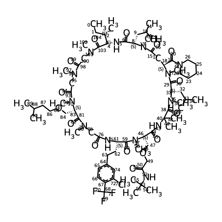 CC[C@H](C)[C@@H]1NC(=O)[C@H](CC(C)C)N(C)C(=O)C[C@@H](C(=O)N2CCCCC2)N(C)C(=O)[C@H](CC(C)C)N(C)C(=O)C(C)(C)NC(=O)[C@H](COCC(=O)NC(C)(C)C)N(C)C(=O)[C@H](CCc2ccc(C(F)(F)F)c(Cl)c2)NC(=O)CN(C)C(=O)[C@H](COCCC(C)C)N(C)C(=O)CN(C)C(=O)CN(C)C1=O